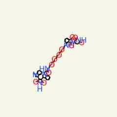 Cn1cc(C2=C(c3cn(CC(=O)NCCOCCOCCOCCOCCNc4cccc5c4C(=O)N(C4CCC(=O)NC4=O)C5=O)c4ccccc34)C(=O)NC2=O)c2ccccc21